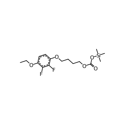 CCOc1ccc(OCCCCOC(=O)O[Si](C)(C)C)c(F)c1F